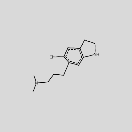 CN(C)CCCc1cc2c(cc1Cl)CCN2